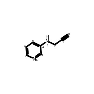 C#CCNc1[c]nccc1